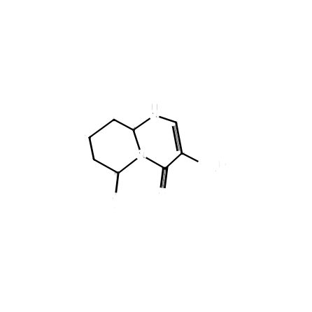 CCOC(=O)C1=CNC2CCCC(C)N2C1=O